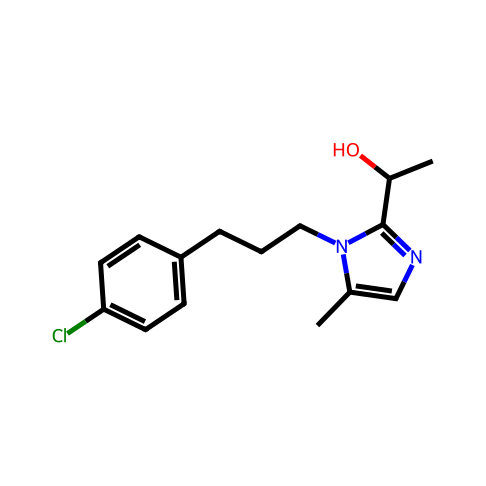 Cc1cnc(C(C)O)n1CCCc1ccc(Cl)cc1